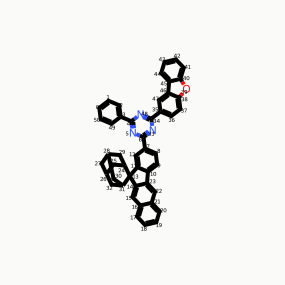 c1ccc(-c2nc(-c3ccc4c(c3)C3(c5cc6ccccc6cc5-4)C4CC5CC(C4)CC3C5)nc(-c3ccc4oc5ccccc5c4c3)n2)cc1